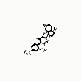 Cc1cc(N2CC[C@H]3CCN(C)C[C@H]32)nnc1-c1ccc(C(F)(F)F)cc1O